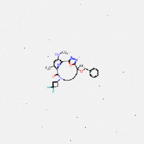 O=C(O)Nc1cc(C(F)(F)F)c2nc1-c1nnc(o1)C(OCc1ccccc1)(C(F)(F)F)CCCCN(C1CC(F)(F)C1)C2=O